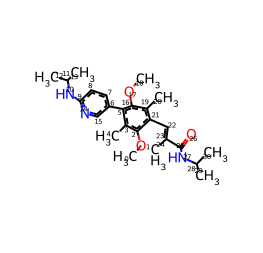 COc1c(C)c(-c2ccc(NC(C)C)nc2)c(OC)c(C)c1/C=C(\C)C(=O)NC(C)C